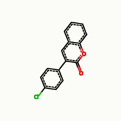 O=c1oc2ccccc2cc1-c1ccc(Cl)cc1